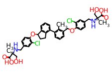 Cc1c(COc2ccc(CN[C@@](C)(CO)C(=O)O)cc2Cl)cccc1-c1cccc2c1CCC2Oc1ccc(CN[C@@](C)(CO)C(=O)O)cc1Cl